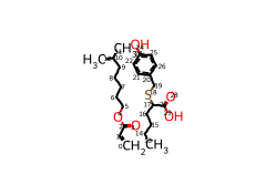 C=CC(=O)OCCCCCC(C)C.CCCCC(SCc1ccc(O)cc1)C(=O)O